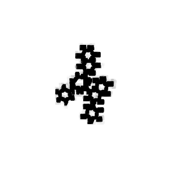 C1=CC(c2ccccc2)=NC(c2cc(-c3ccccc3)cc3ccccc23)=NC=1c1ccc2ccccc2c1